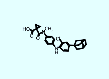 CN(C(=O)C1(C(=O)O)CC1)c1ccc(Nc2ccc(C34CC5CC(C3)C(C5)C4)cc2Cl)cc1